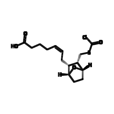 O=C(O)CCC/C=C\C[C@@H]1[C@H](CSC(=O)Cl)[C@@H]2CC[C@H]1O2